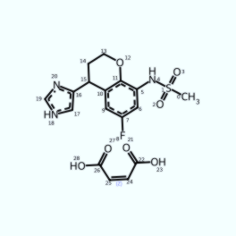 CS(=O)(=O)Nc1cc(F)cc2c1OCCC2c1c[nH]cn1.O=C(O)/C=C\C(=O)O